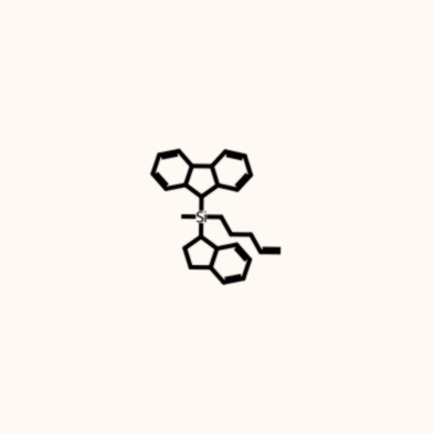 C=CCCC[Si](C)(C1CCC2C=CC=CC21)C1C2C=CC=CC2C2C=CC=CC21